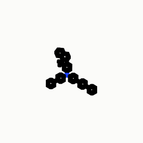 CC1(C)c2cc(N(c3ccc(-c4ccccc4)cc3)c3ccc(-c4ccc(-c5ccccc5)cc4)cc3)ccc2-c2ccc3ccccc3c21